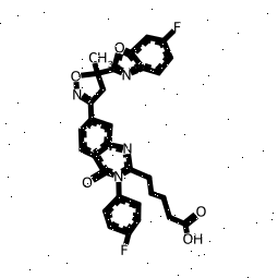 CC1(c2nc3ccc(F)cc3o2)CC(c2ccc3c(=O)n(-c4ccc(F)cc4)c(CCCCC(=O)O)nc3c2)=NO1